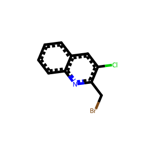 Clc1cc2ccccc2nc1CBr